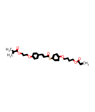 C=CC(=O)OCCCCOc1ccc(SC(=O)/C=C/c2ccc(OCCCOC(=O)C(=C)C)cc2)cc1